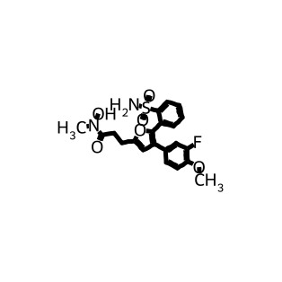 COc1ccc(-c2cc(CCC(=O)N(C)O)oc2-c2ccccc2S(N)(=O)=O)cc1F